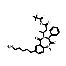 CC(CC(=O)OC(=O)C(F)(F)F)N1C(=O)c2cc(CCCCCN)ccc2N(C)C(=O)C1c1ccccc1